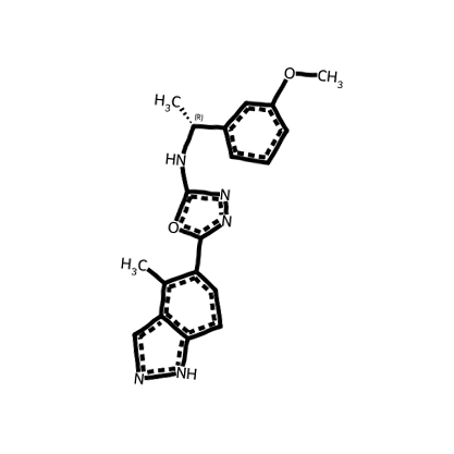 COc1cccc([C@@H](C)Nc2nnc(-c3ccc4[nH]ncc4c3C)o2)c1